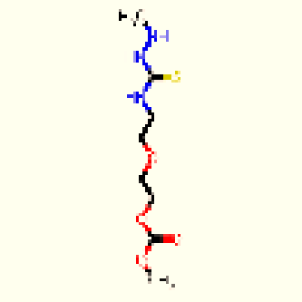 CNNC(=S)NCCOCCOC(=O)OC